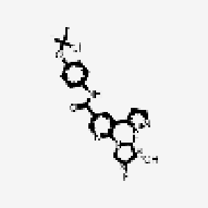 O=C(Nc1ccc(OC(F)(F)Cl)cc1)c1cnc(N2C[C@H](O)[C@@H](F)C2)c(-c2ccn[nH]2)c1